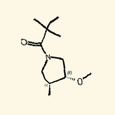 CO[C@H]1CN(C(=O)C(C)(C)C)C[C@@H]1C